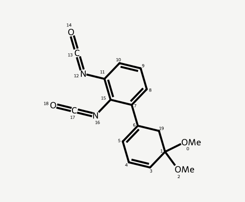 COC1(OC)C=CC=C(c2cccc(N=C=O)c2N=C=O)C1